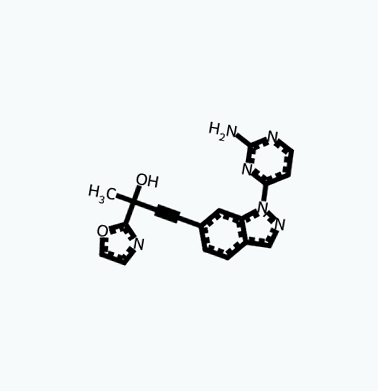 CC(O)(C#Cc1ccc2cnn(-c3ccnc(N)n3)c2c1)c1ncco1